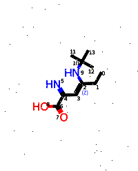 CC/C(=C/C(=N)C(=O)O)NC(C)(C)C